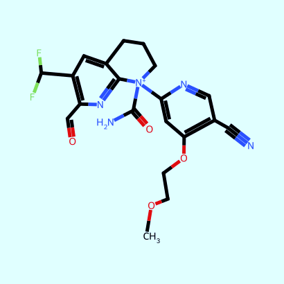 COCCOc1cc([N+]2(C(N)=O)CCCc3cc(C(F)F)c(C=O)nc32)ncc1C#N